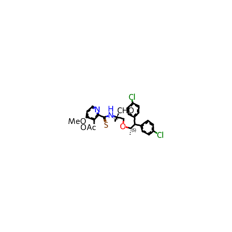 COc1ccnc(C(=S)N[C@](C)(C=O)CO[C@@H](C)C(c2ccc(Cl)cc2)c2ccc(Cl)cc2)c1OC(C)=O